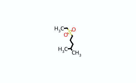 CCS(=O)(=O)CCCC(C)C